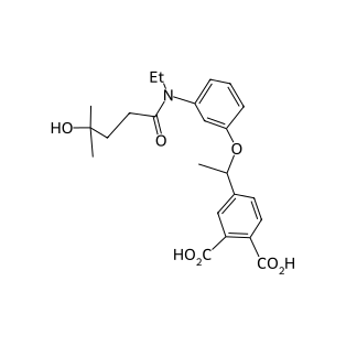 CCN(C(=O)CCC(C)(C)O)c1cccc(OC(C)c2ccc(C(=O)O)c(C(=O)O)c2)c1